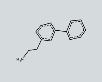 NCCc1cccc(-c2ccccc2)c1